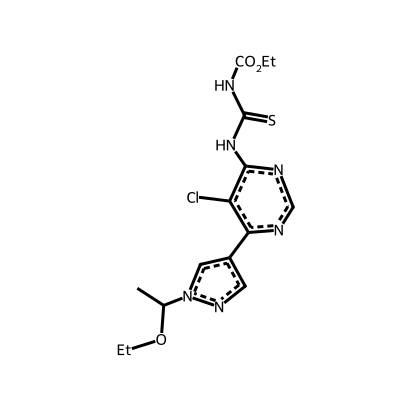 CCOC(=O)NC(=S)Nc1ncnc(-c2cnn(C(C)OCC)c2)c1Cl